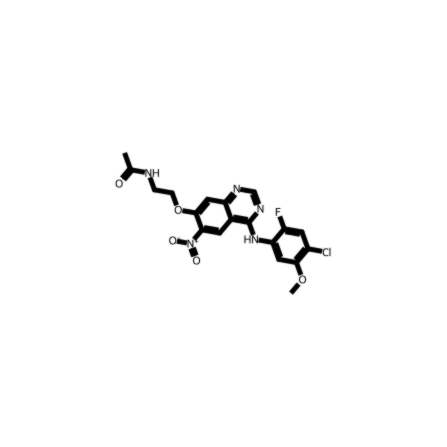 COc1cc(Nc2ncnc3cc(OCCNC(C)=O)c([N+](=O)[O-])cc23)c(F)cc1Cl